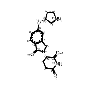 O=C1CC[C@H](N2Cc3cc(O[C@@H]4CCNC4)ccc3C2=O)C(=O)N1